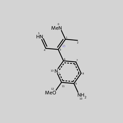 CN/C(C)=C(\C=N)c1ccc(N)c(OC)n1